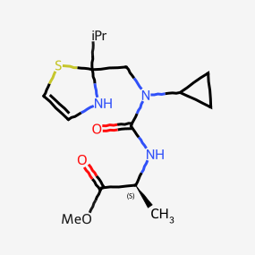 COC(=O)[C@H](C)NC(=O)N(CC1(C(C)C)NC=CS1)C1CC1